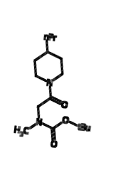 CCCC1CCN(C(=O)CN(C)C(=O)OC(C)(C)C)CC1